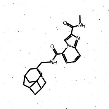 CNC(=O)c1cn2c(C(=O)NCC34CC5CC6CC(C3)C6(C5)C4)cccc2n1